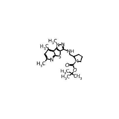 Cc1cc(C)c2c(n1)sc1c(NCC3CCCN3C(=O)OC(C)(C)C)nn(C)c12